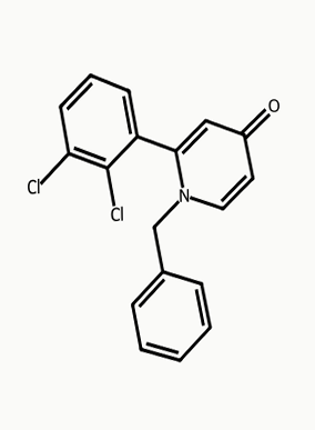 O=c1ccn(Cc2ccccc2)c(-c2cccc(Cl)c2Cl)c1